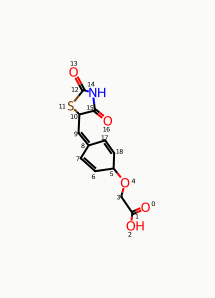 O=C(O)COC1C=CC(=CC2SC(=O)NC2=O)C=C1